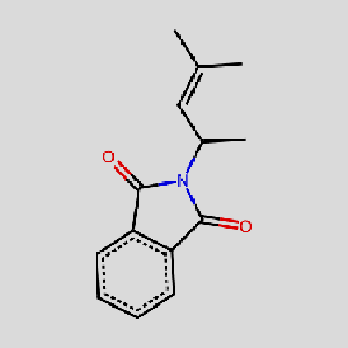 CC(C)=CC(C)N1C(=O)c2ccccc2C1=O